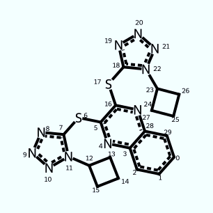 c1ccc2nc(Sc3nnnn3C3CCC3)c(Sc3nnnn3C3CCC3)nc2c1